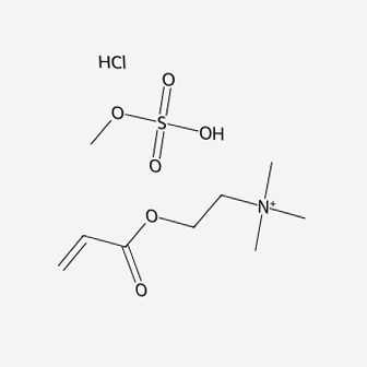 C=CC(=O)OCC[N+](C)(C)C.COS(=O)(=O)O.Cl